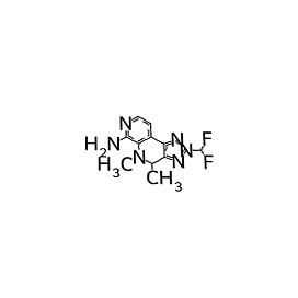 CC1c2nn(C(F)F)nc2-c2ccnc(N)c2N1C